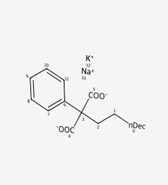 CCCCCCCCCCCCC(C(=O)[O-])(C(=O)[O-])c1ccccc1.[K+].[Na+]